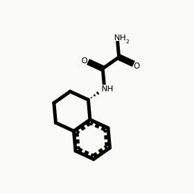 NC(=O)C(=O)N[C@H]1CCCc2ccccc21